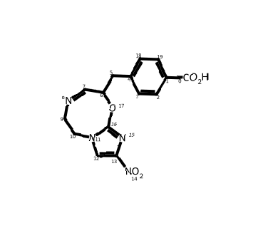 O=C(O)c1ccc(CC2C=NCCn3cc([N+](=O)[O-])nc3O2)cc1